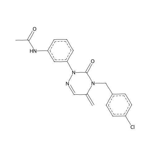 C=C1C=NN(c2cccc(NC(C)=O)c2)C(=O)N1Cc1ccc(Cl)cc1